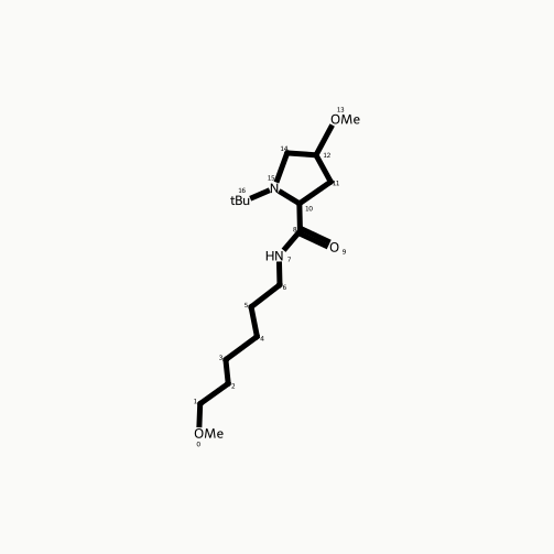 COCCCCCCNC(=O)C1CC(OC)CN1C(C)(C)C